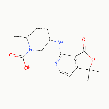 CC1CCC(Nc2nccc3c2C(=O)OC3(C)C)CN1C(=O)O